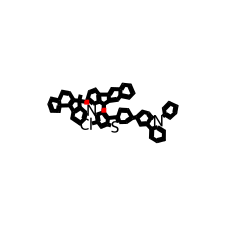 CC1(C)c2ccc3ccccc3c2-c2cccc(N3c4cccc5c4C(C)(c4cc6ccccc6cc4-5)c4c3c(Cl)cc3sc5cc(-c6ccc7c(c6)c6ccccc6n7-c6ccccc6)ccc5c43)c21